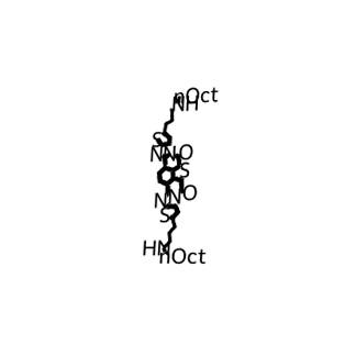 CCCCCCCCNCCCc1cc2c(nc3c4ccc5c6c(sc(c(=O)n23)c46)c(=O)n2c3cc(CCCNCCCCCCCC)sc3nc52)s1